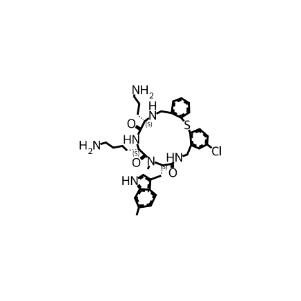 Cc1ccc2c(C[C@H]3C(=O)NCc4cc(Cl)ccc4Sc4ccccc4CN[C@@H](CCCN)C(=O)N[C@@H](CCCCN)C(=O)N3C)c[nH]c2c1